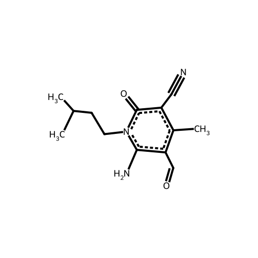 Cc1c(C=O)c(N)n(CCC(C)C)c(=O)c1C#N